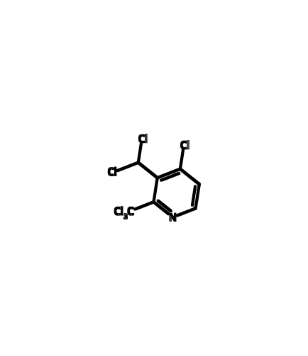 Clc1ccnc(C(Cl)(Cl)Cl)c1C(Cl)Cl